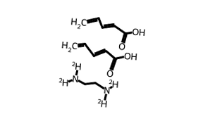 C=CC=CC(=O)O.C=CC=CC(=O)O.[2H]N([2H])CCN([2H])[2H]